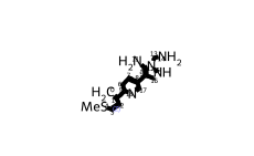 C=C(/C=C\SC)C1CC=C(C2=C(N)N(CN)NC2)C=N1